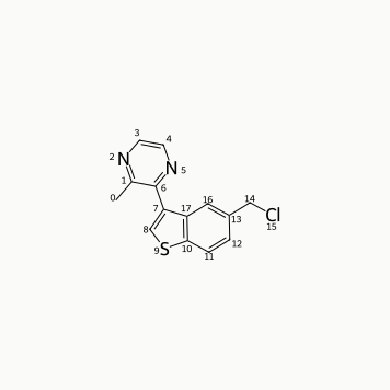 Cc1nccnc1-c1csc2ccc(CCl)cc12